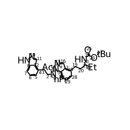 CCCN(CCc1cccc2[nH]ncc12)[N+]1(C(C)=O)N=Cc2c(CCC(CC)NC(=O)OC(C)(C)C)cccc21